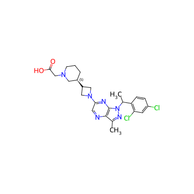 Cc1nn(C(C)c2ccc(Cl)cc2Cl)c2nc(N3CC([C@@H]4CCCN(CC(=O)O)C4)C3)cnc12